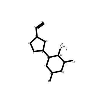 C=CC1CCC(C2CC(C)CC(C)C2N)C1